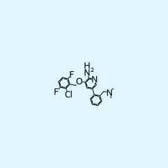 CN(C)Cc1ccccc1-c1cnc(N)c(OCc2c(F)ccc(F)c2Cl)c1